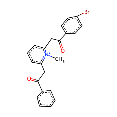 C[n+]1c(CC(=O)c2ccccc2)cccc1CC(=O)c1ccc(Br)cc1